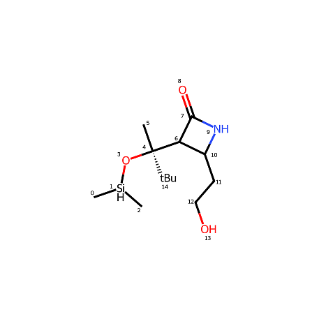 C[SiH](C)O[C@@](C)(C1C(=O)NC1CCO)C(C)(C)C